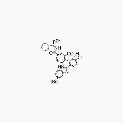 CCC[C@@H](NC(=O)C1=CC(C(=O)O)=C(c2cc(Cl)ccc2-c2nc3cc(C(C)(C)C)ccc3[nH]2)CC#C1)c1ccccc1